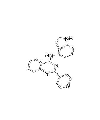 c1ccc2c(Nc3cccc4[nH]ccc34)nc(-c3ccncc3)nc2c1